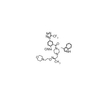 COc1ccc(-n2nnnc2C(F)(F)F)cc1C(=O)N1CCN(CC(C)=NOCCN2CCOCC2)C[C@H]1Cc1c[nH]c2ccccc12